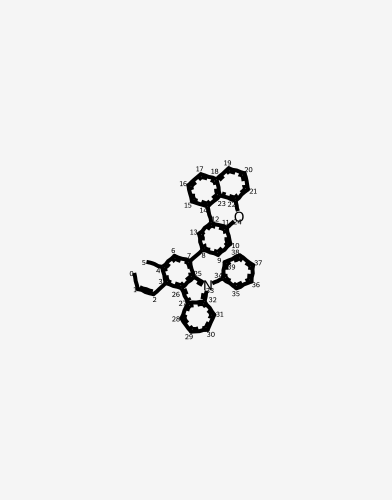 C/C=C\c1c(C)cc(-c2ccc3c(c2)-c2cccc4cccc(c24)O3)c2c1c1ccccc1n2-c1ccccc1